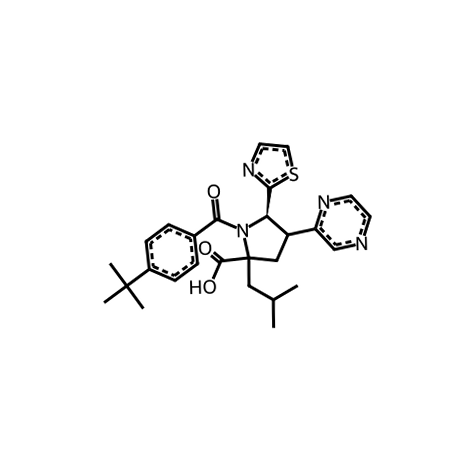 CC(C)CC1(C(=O)O)CC(c2cnccn2)[C@H](c2nccs2)N1C(=O)c1ccc(C(C)(C)C)cc1